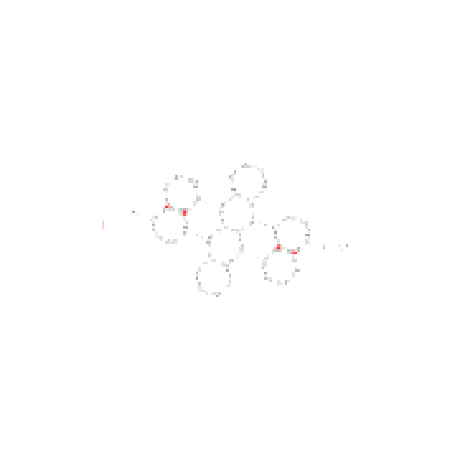 COc1ccc(-c2c3ccccc3c(-c3ccccc3)c3c(-c4ccc(CO)cc4)c4ccccc4c(-c4ccccc4)c23)cc1